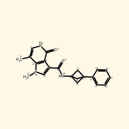 Cc1c[nH]c(=O)c2c(C(=O)NC34CC(c5ccccc5)(C3)C4)cn(C)c12